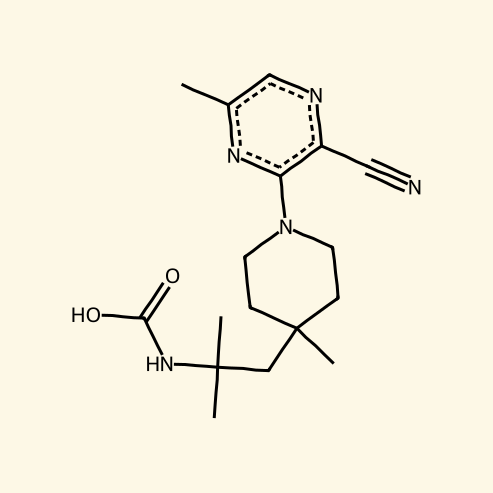 Cc1cnc(C#N)c(N2CCC(C)(CC(C)(C)NC(=O)O)CC2)n1